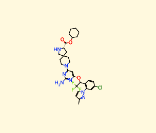 Cc1ccn(-c2cc(Cl)ccc2C(Oc2cc(N3CCC4(CC3)CN[C@H](C(=O)OC3CCCCC3)C4)nc(N)n2)C(F)(F)F)n1